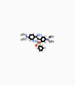 CCCN(CCC)c1ccc([C@@H](N)[C@H](NS(=O)(=O)c2ccccc2)c2ccc(N(CCC)CCC)cc2)cc1